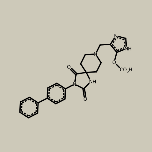 O=C(O)Oc1[nH]cnc1CN1CCC2(CC1)NC(=O)N(c1ccc(-c3ccccc3)cc1)C2=O